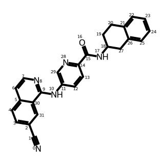 N#Cc1ccc2ccnc(Nc3ccc(C(=O)NC4CCc5ccccc5C4)nc3)c2c1